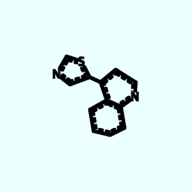 c1ccc2c(-c3cncs3)ccnc2c1